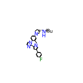 CC[C@@H](C)NC[C@H]1CCN(c2ccc3c(c2)Cn2cc(-c4ccc(F)cc4)cc2-c2nccn2-3)C1